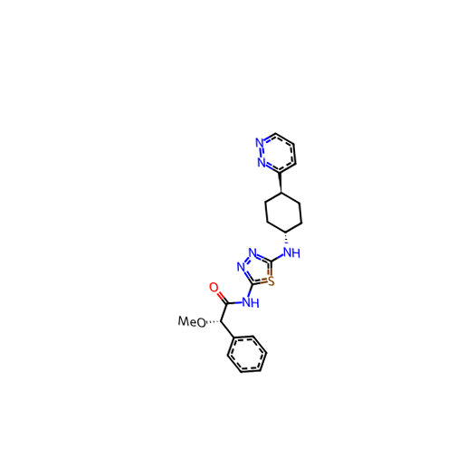 CO[C@H](C(=O)Nc1nnc(N[C@H]2CC[C@H](c3cccnn3)CC2)s1)c1ccccc1